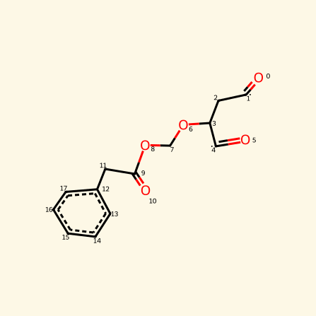 O=[C]CC([C]=O)OCOC(=O)Cc1ccccc1